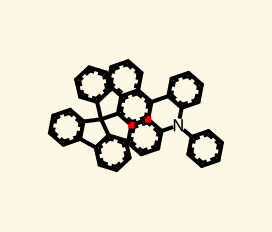 c1ccc(N(c2ccccc2)c2ccccc2-c2ccc(C3(c4ccccc4)c4ccccc4-c4ccccc43)c3ccccc23)cc1